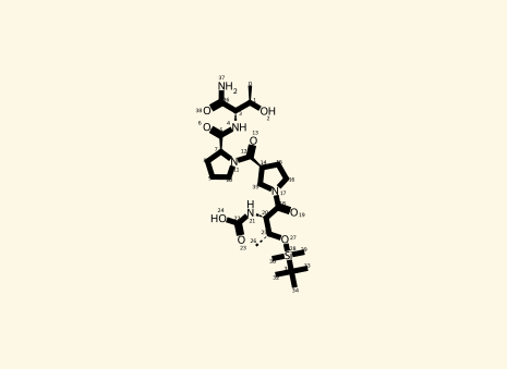 C[C@@H](O)[C@H](NC(=O)[C@@H]1CCCN1C(=O)[C@H]1CCN(C(=O)[C@@H](NC(=O)O)[C@@H](C)O[Si](C)(C)C(C)(C)C)C1)C(N)=O